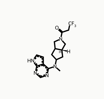 CN(c1ncnc2[nH]ccc12)C1CC2CN(C(=O)CC(F)(F)F)C[C@@H]2C1